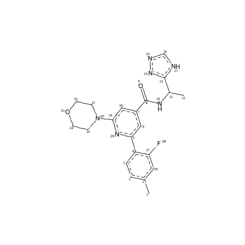 Cc1ccc(-c2cc(C(=O)NC(C)c3nnc[nH]3)cc(N3CCOCC3)n2)c(F)c1